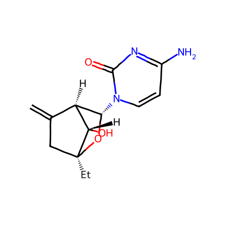 C=C1C[C@]2(CC)O[C@@H](n3ccc(N)nc3=O)[C@H]1[C@@H]2O